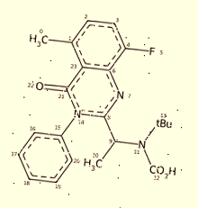 Cc1ccc(F)c2nc(C(C)N(C(=O)O)C(C)(C)C)n(-c3ccccc3)c(=O)c12